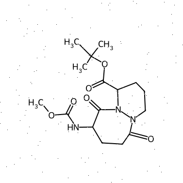 COC(=O)NC1CCC(=O)N2CCCC(C(=O)OC(C)(C)C)N2C1=O